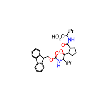 CC(C)C(NC(=O)C1CCCC1C(=O)C(NC(=O)OCC1c2ccccc2-c2ccccc21)C(C)C)C(=O)O